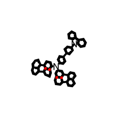 c1ccc(-c2cccc3cccc(-c4ccc(N(c5ccc(-c6ccc(-n7c8ccccc8c8ccccc87)cc6)cc5)c5cccc(-c6cccc7cccc(-c8ccccc8)c67)c5)cc4)c23)cc1